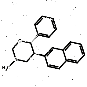 CN1CO[C@H](c2ccccc2)[C@@H](c2ccc3ccccc3c2)C1